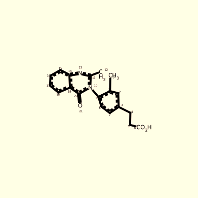 Cc1cc(CCC(=O)O)ccc1-n1c(C)nc2ccccc2c1=O